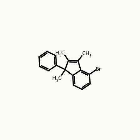 CC1=C(C)C(C)(c2ccccc2)c2cccc(Br)c21